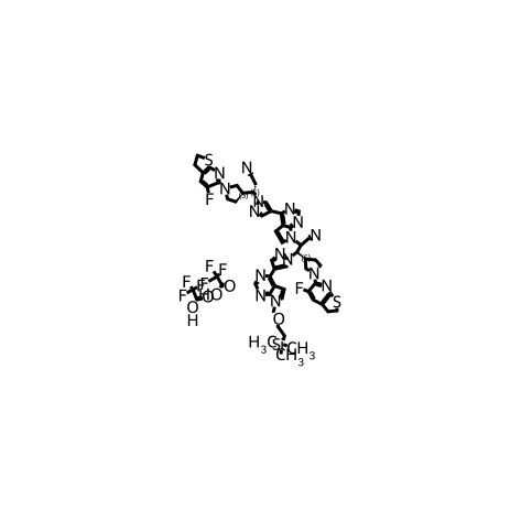 C[Si](C)(C)CCOCn1ccc2c(-c3cnn(C(C(C#N)n4ccc5c(-c6cnn([C@@H](CC#N)[C@H]7CCN(c8nc9c(cc8F)CCS9)C7)c6)ncnc54)[C@H]4CCN(c5nc6c(cc5F)CCS6)C4)c3)ncnc21.O=C(O)C(F)(F)F.O=C(O)C(F)(F)F